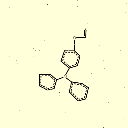 S=COc1ccc([S+](c2ccccc2)c2ccccc2)cc1